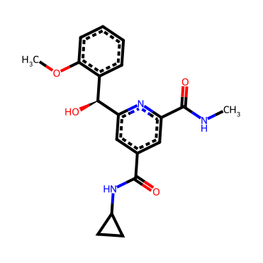 CNC(=O)c1cc(C(=O)NC2CC2)cc([C@@H](O)c2ccccc2OC)n1